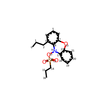 CCCc1cccc2c1N(OS(=O)(=O)CCC)c1ccccc1O2